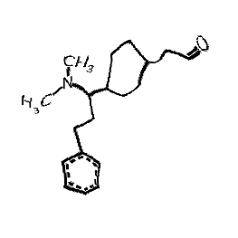 CN(C)C(CCc1ccccc1)C1CCC(CC=O)CC1